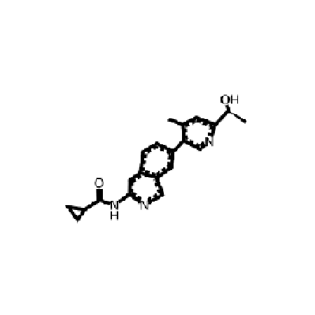 Cc1cc([C@H](C)O)ncc1-c1ccc2cc(NC(=O)C3CC3)ncc2c1